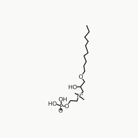 CCCCCCCCCCOCC(O)C[N+](C)(C)CCOP(=O)(O)O